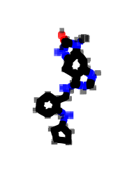 CCn1c(=O)[nH]c2cc3c(NCc4ccccc4NC4CCCC4)ncnc3cc21